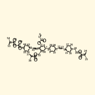 C=CC(=O)Oc1cc(-c2ccc(C#Cc3ccc(CCOC(=O)C(=C)C)cc3)cc2)cc(COC(=O)C(=C)C)c1C#Cc1ccc(OC(=O)OC(=O)C(=C)C)cc1